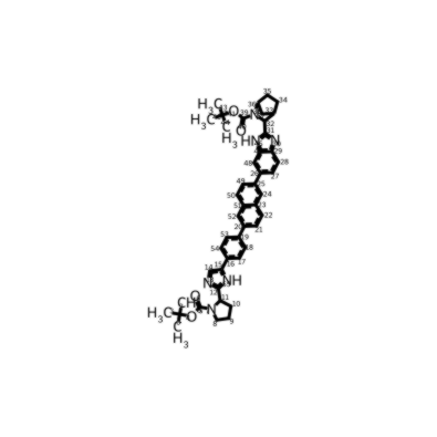 CC(C)(C)OC(=O)N1CCCC1c1ncc(-c2ccc(-c3ccc4cc(-c5ccc6nc(C7C8CCC(C8)N7C(=O)OC(C)(C)C)[nH]c6c5)ccc4c3)cc2)[nH]1